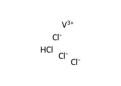 Cl.[Cl-].[Cl-].[Cl-].[V+3]